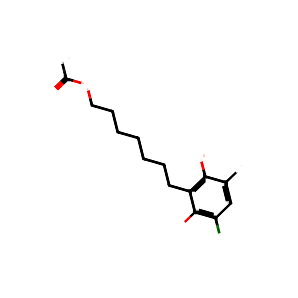 CC(=O)c1cc(Cl)c(O)c(CCCCCCCOC(=O)C(C)(C)C)c1O